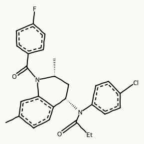 CCC(=O)N(c1ccc(Cl)cc1)[C@H]1C[C@@H](C)N(C(=O)c2ccc(F)cc2)c2cc(C)ccc21